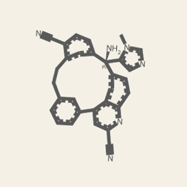 Cn1cncc1[C@@]1(N)c2ccc(C#N)c(c2)CCc2cccc(c2)-c2cc(C#N)nc3ccc1cc23